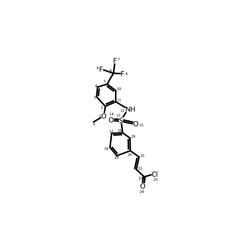 COc1ccc(C(F)(F)F)cc1NS(=O)(=O)c1cccc(C=CC(=O)Cl)c1